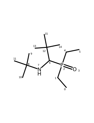 CCP(=O)(CC)C(NC(C)(C)C)C(C)(C)C